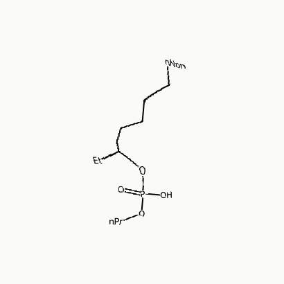 CCCCCCCCCCCCCC(CC)OP(=O)(O)OCCC